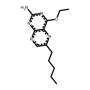 CCCCCc1cnc2nc(N)nc(OCC)c2n1